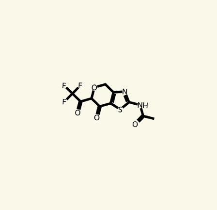 CC(=O)Nc1nc2c(s1)C(=O)C(C(=O)C(F)(F)F)OC2